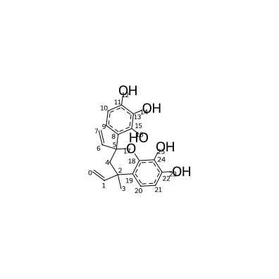 C=CC1(C)CC(C=C)(c2ccc(O)c(O)c2O)Oc2c1ccc(O)c2O